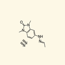 C#N.C#N.CC=NNc1ccc2c(c1)n(C)c(=O)n2C